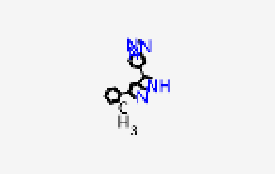 Cc1ccccc1-c1cnc2[nH]cc(-c3ccn4ncnc4c3)c2c1